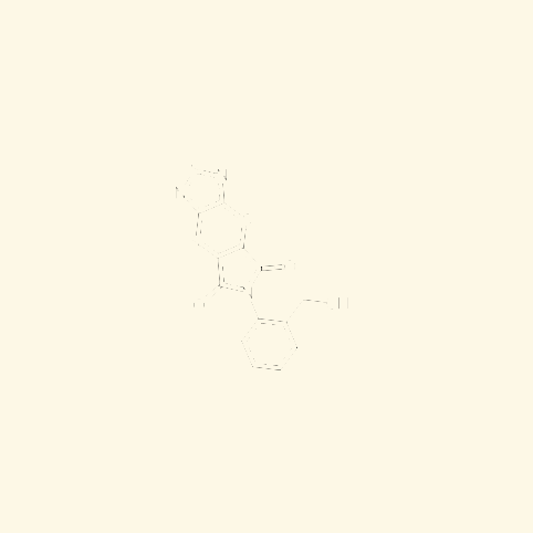 CCc1ccccc1-n1c(=O)c2sc3nsnc3sc=2c1=O